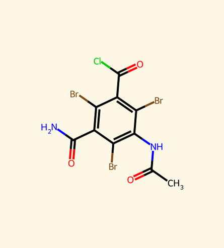 CC(=O)Nc1c(Br)c(C(N)=O)c(Br)c(C(=O)Cl)c1Br